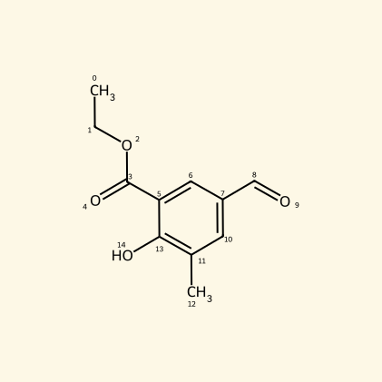 CCOC(=O)c1cc(C=O)cc(C)c1O